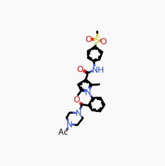 CC(=O)N1CCN(C(=O)c2ccccc2-n2c(C)cc(C(=O)Nc3ccc(S(C)(=O)=O)cc3)c2C)CC1